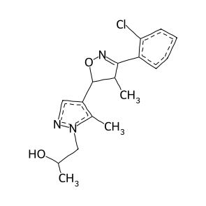 Cc1c(C2ON=C(c3ccccc3Cl)C2C)cnn1CC(C)O